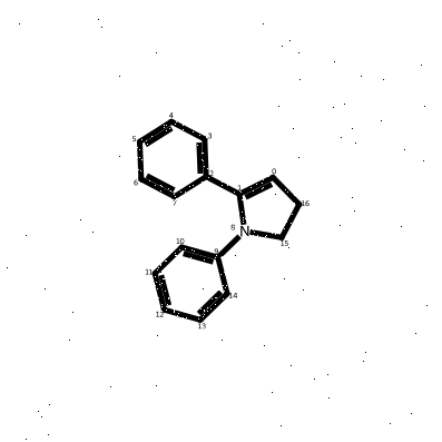 C1=C(c2ccccc2)N(c2ccccc2)CC1